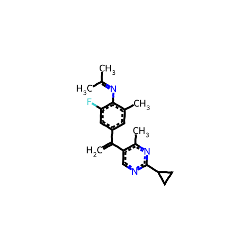 C=C(c1cc(C)c(N=C(C)C)c(F)c1)c1cnc(C2CC2)nc1C